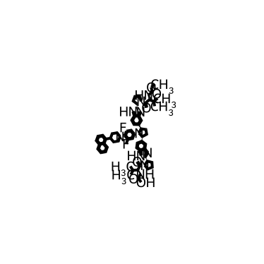 COC(=O)N[C@H](C(=O)N1CCC[C@H]1c1nc2cc([C@H]3CC[C@H](c4ccc5[nH]c([C@@H]6CCCN6C(=O)[C@@H](NC(=O)O)C(C)C)nc5c4)N3c3cc(F)c(N4CCC(c5cccc6ccccc56)CC4)c(F)c3)ccc2[nH]1)C(C)C